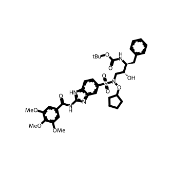 COc1cc(C(=O)Nc2nc3cc(S(=O)(=O)N(C[C@@H](O)[C@H](Cc4ccccc4)NC(=O)OC(C)(C)C)OC4CCCC4)ccc3[nH]2)cc(OC)c1OC